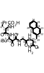 CC[C@H](C)C(NC(=O)[C@H](CC(C)C)NC(=O)O)C(=O)C(=O)NCC(=O)N[C@H](Cc1ccc2ccccc2c1)C(N)=O